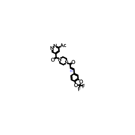 CC(=O)c1cc(C(=O)N2CCN(C(=O)/C=C/c3ccc4c(c3)OC(F)(F)O4)CC2)cnn1